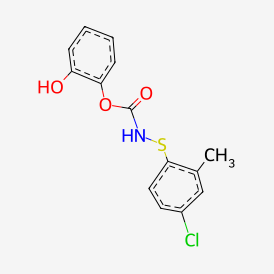 Cc1cc(Cl)ccc1SNC(=O)Oc1ccccc1O